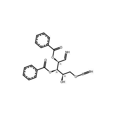 B=BOC[C@@H](O)[C@@H](OC(=O)c1ccccc1)[C@H](C=N)OC(=O)c1ccccc1